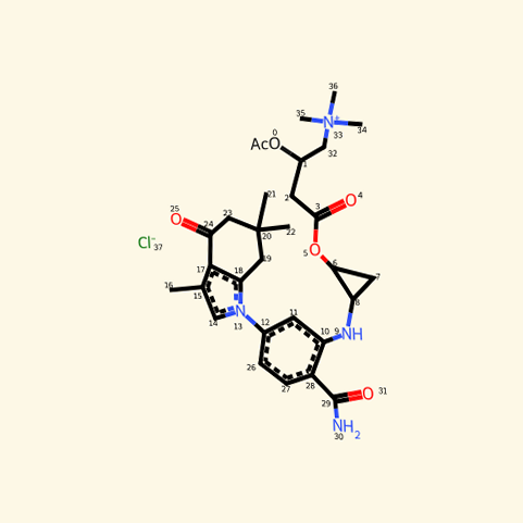 CC(=O)OC(CC(=O)OC1CC1Nc1cc(-n2cc(C)c3c2CC(C)(C)CC3=O)ccc1C(N)=O)C[N+](C)(C)C.[Cl-]